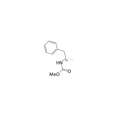 COC(=O)N[C@@H](C)Cc1ccccc1